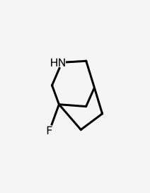 FC12CCC(CNC1)C2